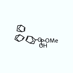 C1=CC2CCC1C2.C1=CC2CCC1C2.COP(O)OC1CC2C=CC1C2